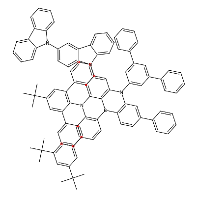 CC(C)(C)c1cc(-c2ccc3c(c2)N(c2c(-c4ccccc4)cc(C(C)(C)C)cc2-c2ccccc2)c2cc(-n4c5ccccc5c5cc(-n6c7ccccc7c7ccccc76)ccc54)cc4c2B3c2ccc(-c3ccccc3)cc2N4c2cc(-c3ccccc3)cc(-c3ccccc3)c2)cc(C(C)(C)C)c1